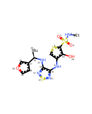 CCNS(=O)(=O)c1scc(Nc2nsnc2N[C@@H](c2ccoc2)C(C)(C)C)c1O